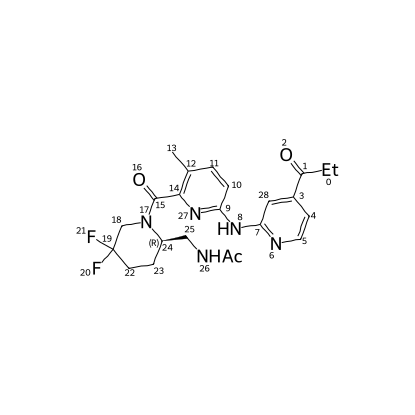 CCC(=O)c1ccnc(Nc2ccc(C)c(C(=O)N3CC(F)(F)CC[C@@H]3CNC(C)=O)n2)c1